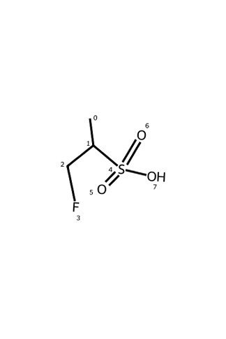 CC(CF)S(=O)(=O)O